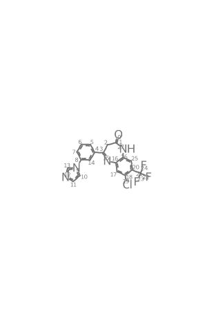 O=C1CC(c2cccc(-n3ccnc3)c2)=Nc2cc(Cl)c(C(F)(F)F)cc2N1